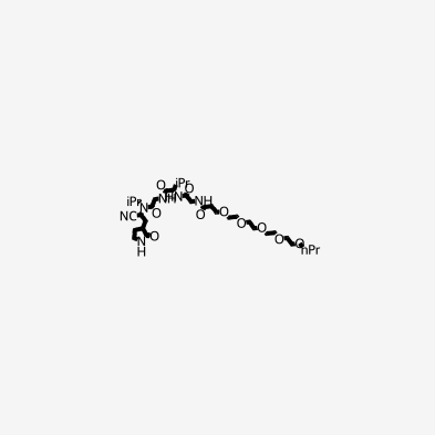 CCCOCCOCCOCCOCCOCCC(=O)NCC(=O)NC(C(=O)NCC(=O)N(C(C)C)C(C#N)CC1CCNC1=O)C(C)C